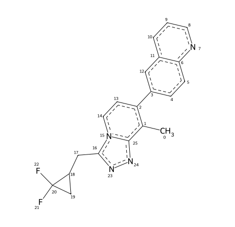 Cc1c(-c2ccc3ncccc3c2)ccn2c(CC3CC3(F)F)nnc12